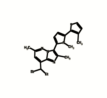 CCC(CC)c1cc(C)nn2c(-c3ccc(-c4sccc4C)n3C)c(C)nc12